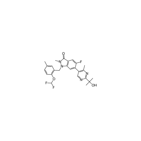 Cc1ccc(OC(F)F)c(Cn2c3cc(-c4cnc(C(C)(C)O)nc4C)c(F)cc3c(=O)n2C)c1